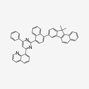 CC1(C)c2ccc(-c3ccc(-c4nc(-c5ccccc5)cc(-c5cccc6cccnc56)n4)c4ccccc34)cc2-c2ccc3ccccc3c21